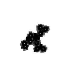 c1ccc2c(-c3cccc4c3oc3cccc(-c5nc(-c6ccc(-c7cccc8c7sc7ccccc78)cc6)nc(-c6ccc7c8ccccc8c8ccccc8c7c6)n5)c34)cccc2c1